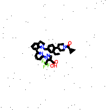 CCc1cc(CN2CCc3cccc(-c4cccc(-n5ncc(C(=O)O)c5C(F)(F)F)n4)c32)ccc1C1CCN(C(=O)C2CC2)CC1